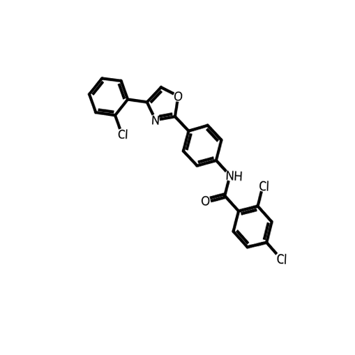 O=C(Nc1ccc(-c2nc(-c3ccccc3Cl)co2)cc1)c1ccc(Cl)cc1Cl